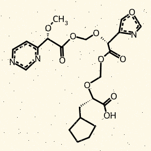 CO[C@H](C(=O)OCO[C@@H](C(=O)OCO[C@@H](CC1CCCC1)C(=O)O)c1cocn1)c1ccncn1